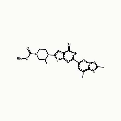 Cc1cn2nc(-c3nc4sc(C5CCN(C(=O)OC(C)(C)C)CC5F)cc4c(=O)[nH]3)cc(C)c2n1